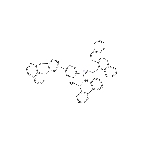 NC(N/C(=C\Cc1c2ccccc2cc2c1ccc1ccccc12)c1ccc(-c2ccc3c(c2)-c2cccc4cccc(c24)O3)cc1)c1ccccc1-c1ccccc1